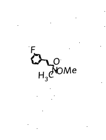 CON(C)C(=O)C=Cc1cccc(F)c1